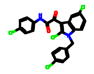 O=C(Nc1ccc(Cl)cc1)C(=O)c1c(Cl)n(Cc2ccc(Cl)cc2)c2ccc(Cl)cc12